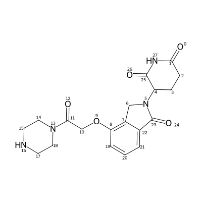 O=C1CCC(N2Cc3c(OCC(=O)N4CCNCC4)cccc3C2=O)C(=O)N1